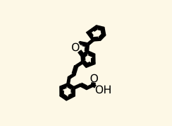 O=C(O)/C=C/c1ccccc1C/C=C/c1cccc2c(-c3ccccc3)coc12